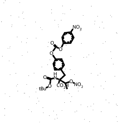 CC(O[N+](=O)[O-])C(Cc1ccc(OC(=O)Oc2ccc([N+](=O)[O-])cc2)cc1)(NC(=O)OC(C)(C)C)C(=O)O